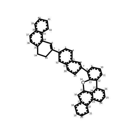 C1=C(c2ccc3cc(-c4cccc5c4Oc4cc6ccccc6c6cccc-5c46)ccc3c2)CCc2ccc3ccccc3c21